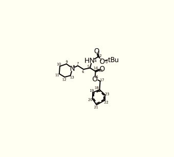 CC(C)(C)OC(=O)NC(CCN1CCCCC1)C(=O)OCc1ccccc1